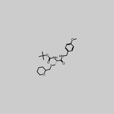 COc1ccc(CNC(=O)[C@H](CSCC2CCCCO2)NC(=O)OC(C)(C)C)cc1